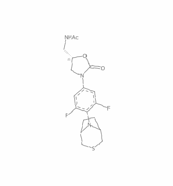 CC(=O)NC[C@H]1CN(c2cc(F)c(N3C4CCC3CSC4)c(F)c2)C(=O)O1